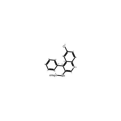 CCCCCCCNc1cnc2ccc(Cl)cc2c1-c1ccccc1